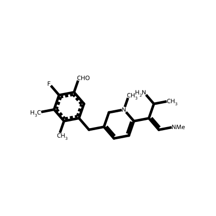 CN/C=C(/C1=CC=C(Cc2cc(C=O)c(F)c(C)c2C)CN1C)C(C)N